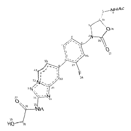 CC(=O)NC[C@H]1CN(c2ccc(-c3ccn4nc(NC(=O)CO)nc4c3)c(F)c2)C(=O)O1